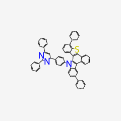 c1ccc(-c2ccc3c(c2)c2c4ccccc4c4sc5c(-c6ccccc6)cccc5c4c2n3-c2ccc(-c3cc(-c4ccccc4)nc(-c4ccccc4)n3)cc2)cc1